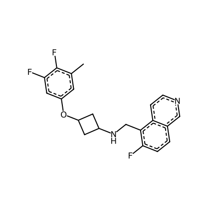 Cc1cc(OC2CC(NCc3c(F)ccc4cnccc34)C2)cc(F)c1F